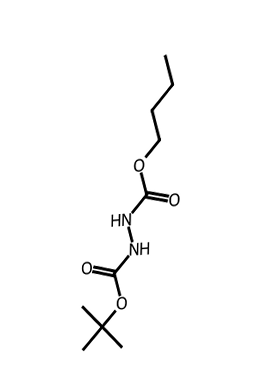 CCCCOC(=O)NNC(=O)OC(C)(C)C